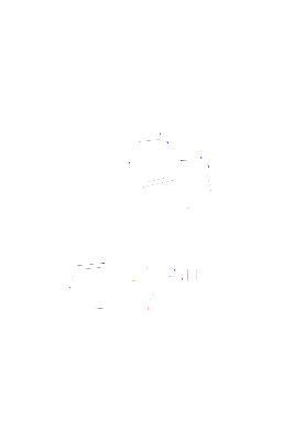 NS(=O)(=O)c1ccccc1C#Cc1ccnc2[nH]ccc12